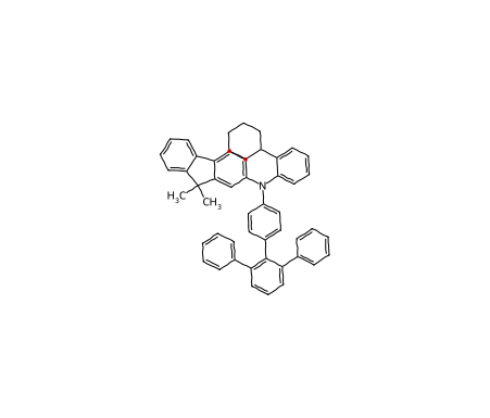 CC1(C)c2ccccc2-c2ccc(N(c3ccc(-c4c(-c5ccccc5)cccc4-c4ccccc4)cc3)c3ccccc3C3CCCCC3)cc21